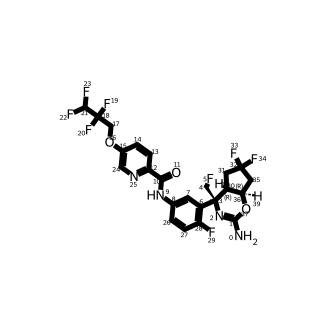 NC1=N[C@](CF)(c2cc(NC(=O)c3ccc(OCC(F)(F)C(F)F)cn3)ccc2F)[C@H]2CC(F)(F)C[C@H]2O1